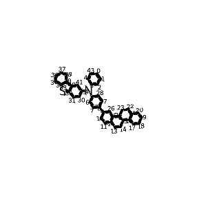 c1ccc(N(c2ccc(-c3ccc4ccc5c6ccccc6ccc5c4c3)cc2)c2ccc3sc4ccccc4c3c2)cc1